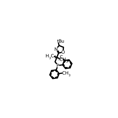 Cc1ccccc1P(CC(C)(C)C1=NC(C(C)(C)C)CO1)c1ccccc1C